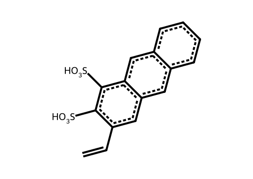 C=Cc1cc2cc3ccccc3cc2c(S(=O)(=O)O)c1S(=O)(=O)O